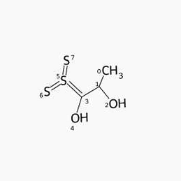 CC(O)C(O)=S(=S)=S